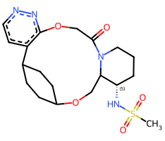 CS(=O)(=O)N[C@H]1CCCN2C(=O)COc3nnccc3C3CCC(CC3)OCC12